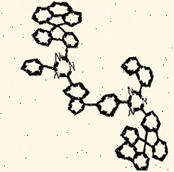 c1ccc(-c2nc(-c3ccc4c(-c5ccc(-c6nc(-c7ccc8c(c7)C7(c9ccccc9-8)c8cccc9ccc%10cccc7c%10c89)nc(-c7cccc8ccccc78)n6)cc5)cccc4c3)nc(-c3cccc4c3-c3ccccc3C43c4cccc5ccc6cccc3c6c45)n2)cc1